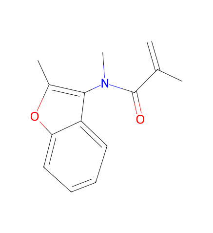 C=C(C)C(=O)N(C)c1c(C)oc2ccccc12